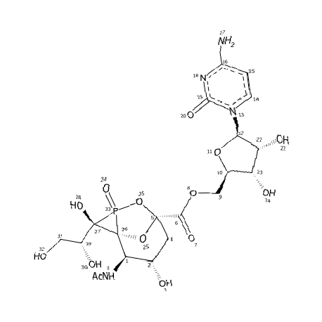 CC(=O)N[C@@H]1[C@@H](O)C[C@@]2(C(=O)OC[C@H]3O[C@@H](n4ccc(N)nc4=O)[C@H](O)[C@@H]3O)O[C@@]13[C@](O)([C@H](O)CO)P3(=O)O2